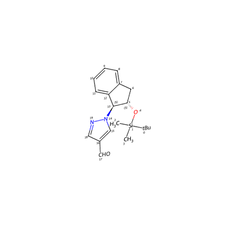 CC(C)(C)[Si](C)(C)O[C@H]1Cc2ccccc2[C@@H]1n1cc(C=O)cn1